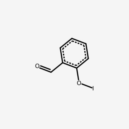 O=Cc1ccccc1OI